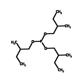 CCC(C)COP(OCC(C)CC)OCC(C)CC